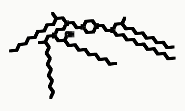 CCCCCCCCCCCCN(CCN1CCN(CCN(CCN(CC(C)CCCCCCCCCC)CC(O)CCCCCCCCCC)CC(C)CCCCCCCCCC)CC1)CC(C)CCCCCCCCCC